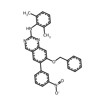 Cc1cccc(C)c1Nc1ncc2cc(-c3cccc([N+](=O)[O-])c3)c(OCc3ccccc3)cc2n1